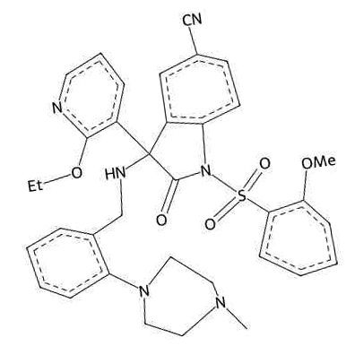 CCOc1ncccc1C1(NCc2ccccc2N2CCN(C)CC2)C(=O)N(S(=O)(=O)c2ccccc2OC)c2ccc(C#N)cc21